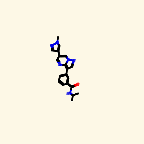 CC(C)NC(=O)c1cccc(-c2cnn3cc(-c4cnn(C)c4)cnc23)c1